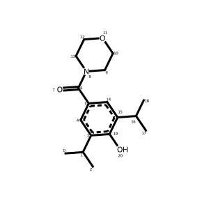 CC(C)c1cc(C(=O)N2CCOCC2)cc(C(C)C)c1O